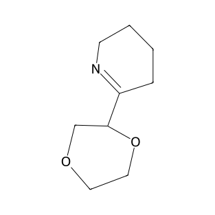 C1CCC(C2COCCO2)=NC1